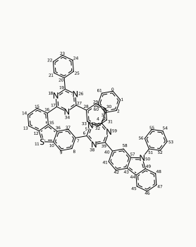 c1ccc(-c2nc(-c3ccc4sc5cccc(-c6nc(-c7ccccc7)nc(-c7ccccc7)n6)c5c4c3)nc(-c3ccc4c5ccccc5n(-c5ccccc5)c4c3)n2)cc1